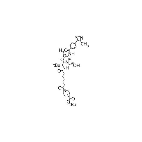 Cc1ncsc1-c1ccc([C@H](C)NC(=O)[C@@H]2C[C@@H](O)CN2C(=O)C(NC(=O)CCCCCC(=O)N2CCN(C(=O)OC(C)(C)C)CC2)C(C)(C)C)cc1